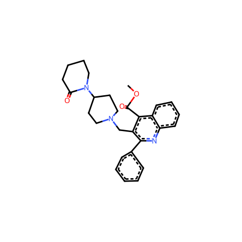 COC(=O)c1c(CN2CCC(N3CCCCC3=O)CC2)c(-c2ccccc2)nc2ccccc12